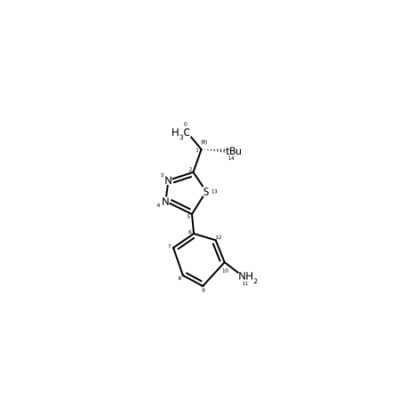 C[C@@H](c1nnc(-c2cccc(N)c2)s1)C(C)(C)C